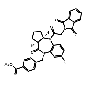 COC(=O)c1ccc(CN2C(=O)[C@H]3CCC[C@H]3N(C(=O)CN3C(=O)c4ccccc4C3=O)c3ccc(Cl)cc32)cc1